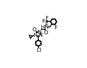 O=C(Cn1nc(-c2ccc(Cl)cc2)n(C2CC2)c1=O)NCc1c(F)cccc1C(F)(F)F